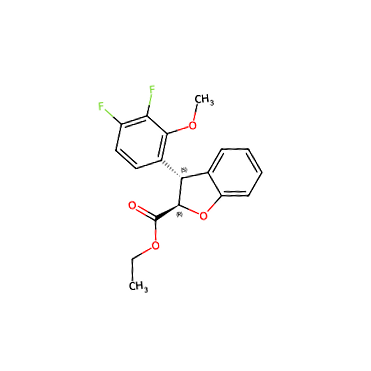 CCOC(=O)[C@@H]1Oc2ccccc2[C@H]1c1ccc(F)c(F)c1OC